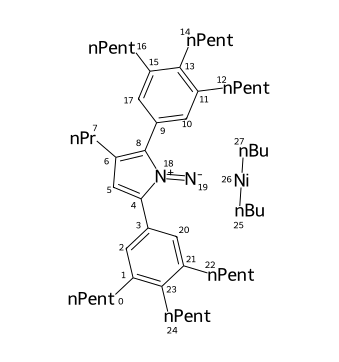 CCCCCc1cc(C2=CC(CCC)=C(c3cc(CCCCC)c(CCCCC)c(CCCCC)c3)[N+]2=[N-])cc(CCCCC)c1CCCCC.CCC[CH2][Ni][CH2]CCC